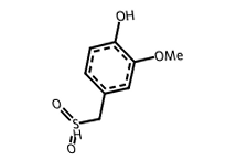 COc1cc(C[SH](=O)=O)ccc1O